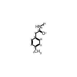 Cc1ccc(CC(=O)NI)cc1